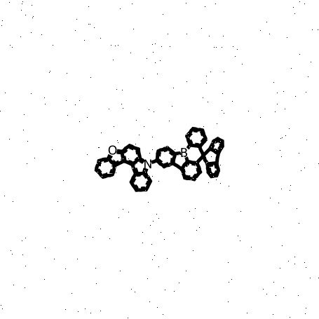 c1ccc2c(c1)B1c3ccc(-n4c5ccccc5c5c6c(ccc54)oc4ccccc46)cc3-c3cccc(c31)C21c2ccccc2-c2ccccc21